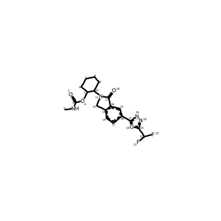 CNC(=O)OC1CCCCC1N1Cc2ccc(-c3nnc(C(F)F)o3)cc2C1=O